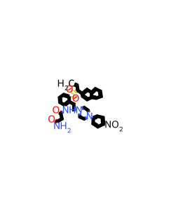 C=CC(c1ccc2ccccc2c1)S(=O)(=O)c1cccc(NC(=O)CC(N)=O)c1CCN1CCN(c2ccc([N+](=O)[O-])cc2)CC1